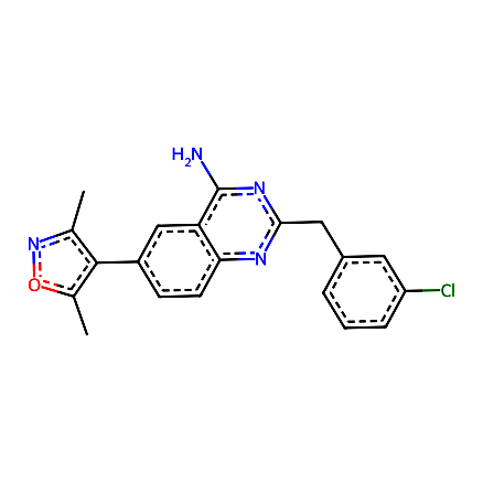 Cc1noc(C)c1-c1ccc2nc(Cc3cccc(Cl)c3)nc(N)c2c1